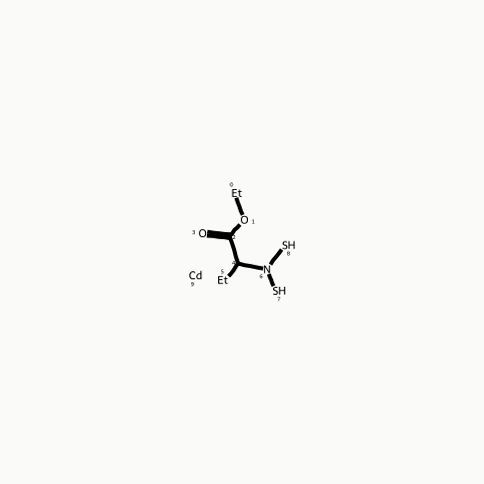 CCOC(=O)C(CC)N(S)S.[Cd]